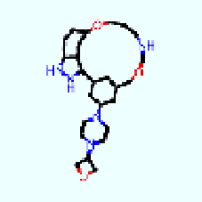 C1CNCOCC2CC(CC(N3CCN(C4COC4)CC3)C2)C2NNC3CCC(CC32)OC1